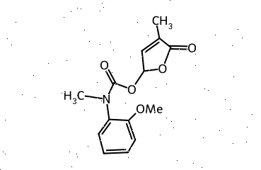 COc1ccccc1N(C)C(=O)OC1C=C(C)C(=O)O1